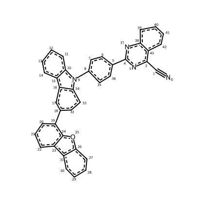 N#Cc1nc(-c2ccc(-n3c4ccccc4c4cc(-c5cccc6c5oc5ccccc56)ccc43)cc2)nc2ccccc12